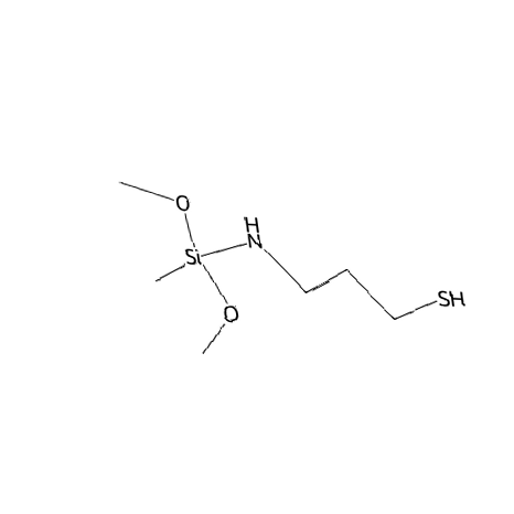 CO[Si](C)(NCCCS)OC